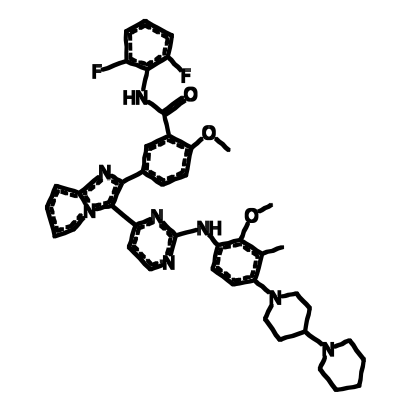 COc1ccc(-c2nc3ccccn3c2-c2ccnc(Nc3ccc(N4CCC(N5CCCCC5)CC4)c(C)c3OC)n2)cc1C(=O)Nc1c(F)cccc1F